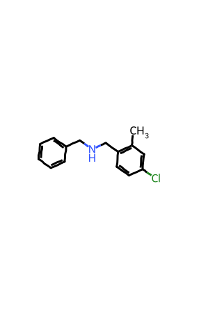 Cc1cc(Cl)ccc1CNCc1ccccc1